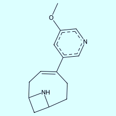 COc1cncc(/C2=C/CC3CC(CC2)N3)c1